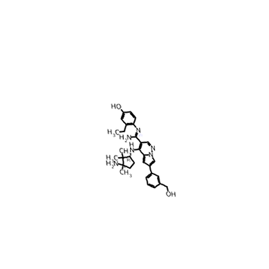 CCc1cc(O)ccc1/N=C(\N)c1cnn2cc(-c3cccc(CO)c3)cc2c1N[C@@H]1CC[C@](C)(N)C1(C)C